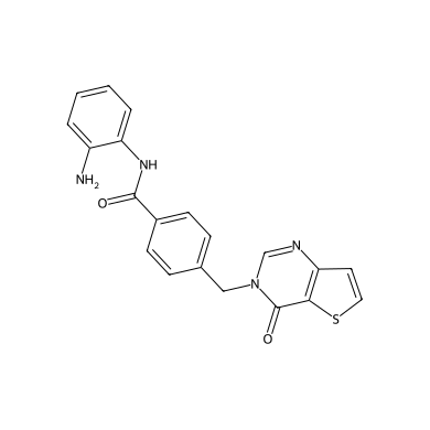 Nc1ccccc1NC(=O)c1ccc(Cn2cnc3ccsc3c2=O)cc1